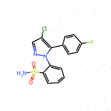 NS(=O)(=O)c1ccccc1-n1ncc(Cl)c1-c1ccc(F)cc1